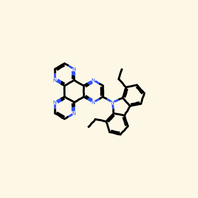 CCc1cccc2c3cccc(CC)c3n(-c3cnc4c5nccnc5c5nccnc5c4n3)c12